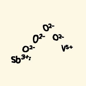 [O-2].[O-2].[O-2].[O-2].[Sb+3].[V+5]